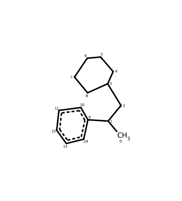 CC([CH]C1CCCCC1)c1ccccc1